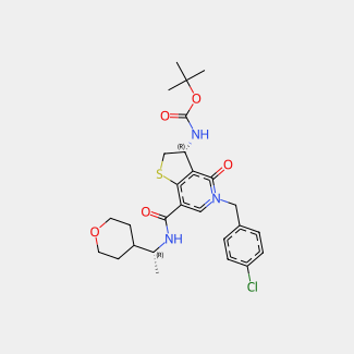 C[C@@H](NC(=O)c1cn(Cc2ccc(Cl)cc2)c(=O)c2c1SC[C@@H]2NC(=O)OC(C)(C)C)C1CCOCC1